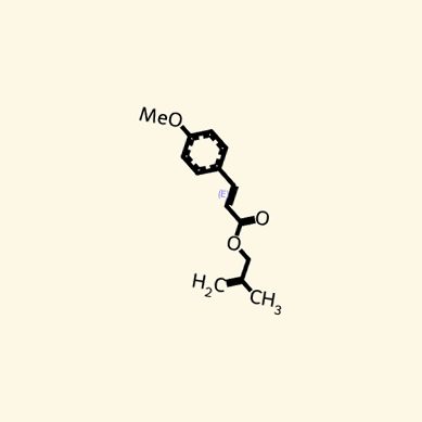 C=C(C)COC(=O)/C=C/c1ccc(OC)cc1